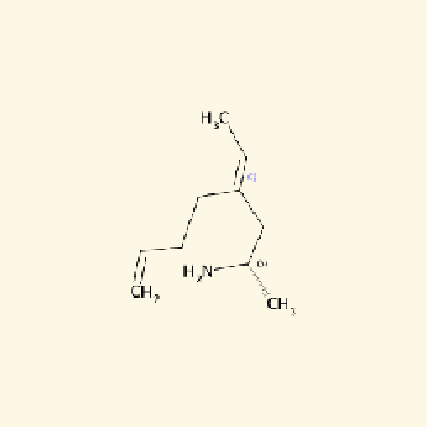 C=CCC/C(=C\C)C[C@H](C)N